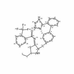 CCC1NN(Cc2ccc(-c3ccccc3-c3nnn[nH]3)cc2)C(=NC(=O)c2ccccc2C(F)(F)F)S1